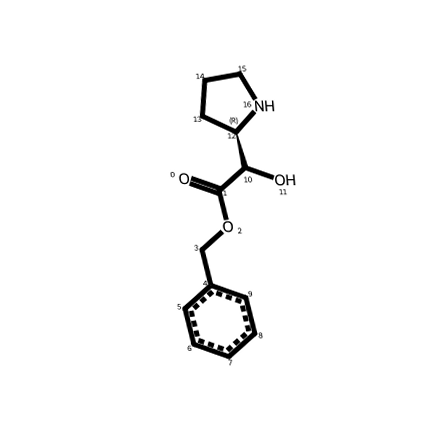 O=C(OCc1ccccc1)C(O)[C@H]1CCCN1